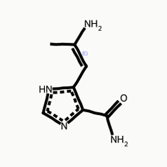 C/C(N)=C\c1[nH]cnc1C(N)=O